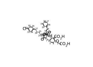 O=C(O)COc1ccc(C[C@H](NS(=O)(=O)/C=C/c2ccccc2)C(=O)NCCCCc2ccc(Cl)cc2)cc1C(=O)O